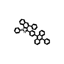 c1ccc(-c2c3ccccc3c(-c3ccc(-c4nn(-c5ccccc5)c5c4c(-c4ccccc4)cc4ccccc45)cc3)c3ccccc23)cc1